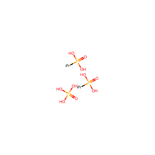 CC(C)P(=O)(O)O.CC(C)P(=O)(O)O.O=P(O)(O)O